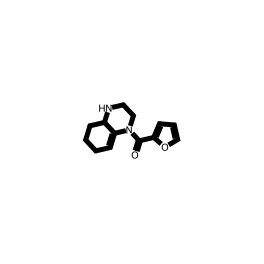 O=C(c1ccco1)N1CCNC2CCCC=C21